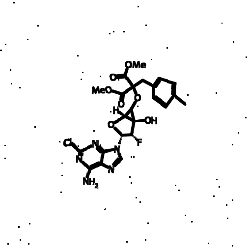 COC(=O)C(Cc1ccc(C)cc1)(OC1[C@H]2O[C@@H](n3cnc4c(N)nc(Cl)nc43)[C@@H](F)[C@@]12O)C(=O)OC